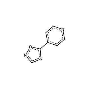 c1cc(-c2ncno2)ccn1